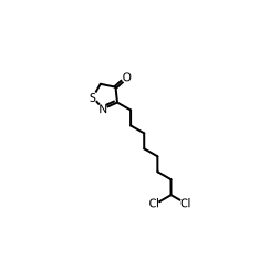 O=C1CSN=C1CCCCCCCC(Cl)Cl